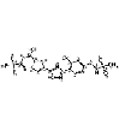 CS(=O)(=O)NCc1ccc(-c2noc(-c3cn4cc(C(F)(F)F)cc(Cl)c4n3)n2)c(Cl)c1